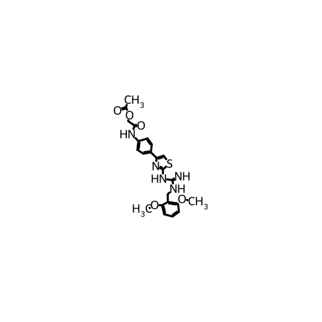 COc1cccc(OC)c1CNC(=N)Nc1nc(-c2ccc(NC(=O)COC(C)=O)cc2)cs1